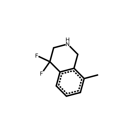 Cc1cccc2c1CNCC2(F)F